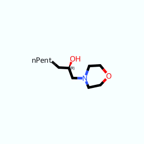 CCCCCC[C@@H](O)CN1CCOCC1